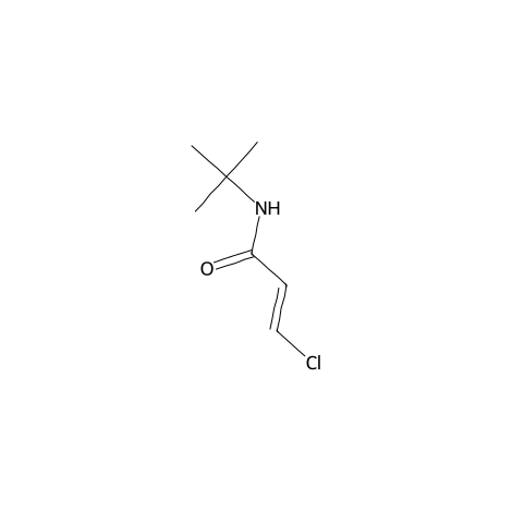 CC(C)(C)NC(=O)/C=C/Cl